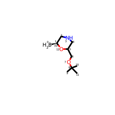 B[C@H]1CNCC(COC(C)(C)C)O1